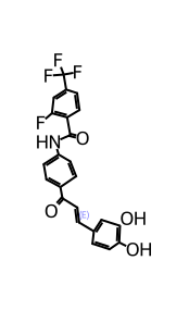 O=C(/C=C/c1ccc(O)c(O)c1)c1ccc(NC(=O)c2ccc(C(F)(F)F)cc2F)cc1